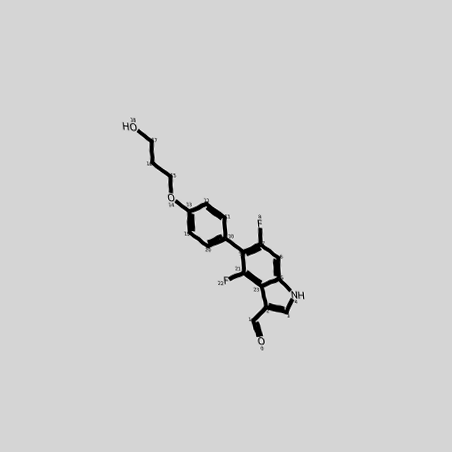 O=Cc1c[nH]c2cc(F)c(-c3ccc(OCCCO)cc3)c(F)c12